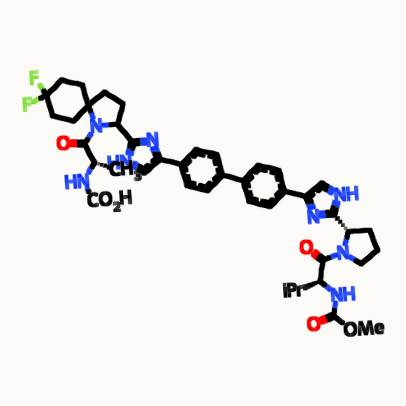 COC(=O)N[C@H](C(=O)N1CCC[C@H]1c1nc(-c2ccc(-c3ccc(-c4c[nH]c(C5CCC6(CCC(F)(F)CC6)N5C(=O)[C@H](C)NC(=O)O)n4)cc3)cc2)c[nH]1)C(C)C